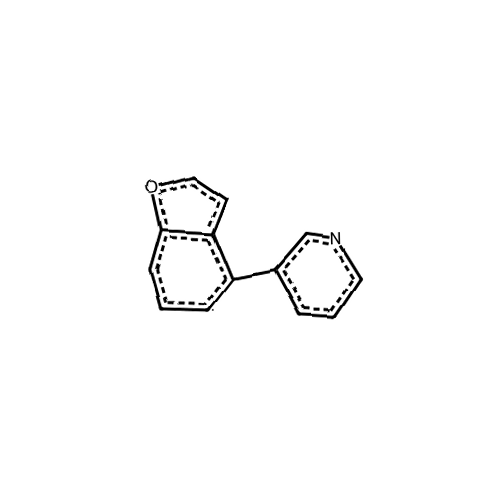 [c]1ccc2occc2c1-c1cccnc1